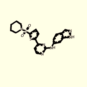 O=S(=O)(c1ccc(-c2ccnc(Nc3ccc4cn[nH]c4c3)n2)s1)N1CCCCC1